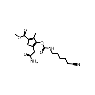 COC(=O)c1sc(CC(N)=O)c(OC(=O)NCCCCCC#N)c1C